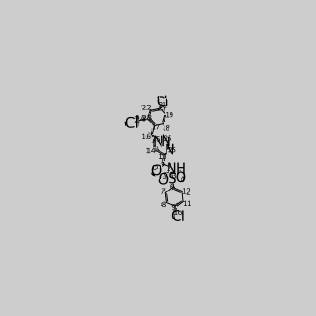 O=C(NS(=O)(=O)c1ccc(Cl)cc1)c1cn(Cc2ccc(Cl)cc2Cl)nn1